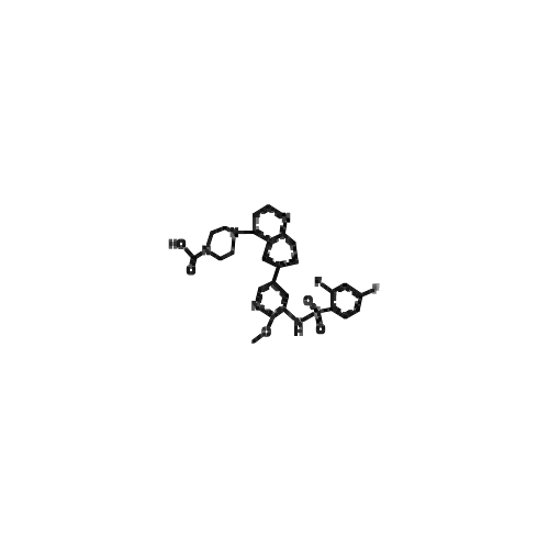 COc1ncc(-c2ccc3nccc(N4CCN(C(=O)O)CC4)c3c2)cc1NS(=O)(=O)c1ccc(F)cc1F